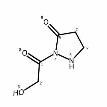 O=C(CO)N1NCCC1=O